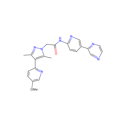 COc1ccc(-c2c(C)nn(CC(=O)Nc3ccc(-c4cnccn4)cn3)c2C)nc1